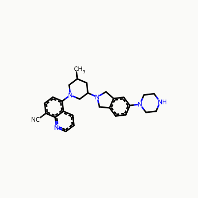 CC1CC(N2Cc3ccc(N4CCNCC4)cc3C2)CN(c2ccc(C#N)c3ncccc23)C1